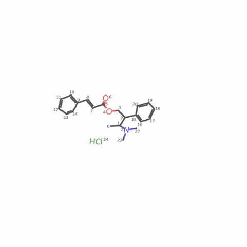 CC(C(COC(=O)C=Cc1ccccc1)c1ccccc1)N(C)C.Cl